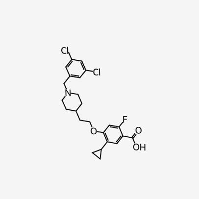 O=C(O)c1cc(C2CC2)c(OCCC2CCN(Cc3cc(Cl)cc(Cl)c3)CC2)cc1F